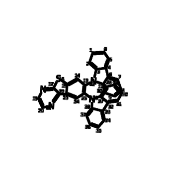 c1ccc2c(c1)c1ccccc1n2-c1cc2sc3nccnc3c2cc1-n1c2ccccc2c2ccccc21